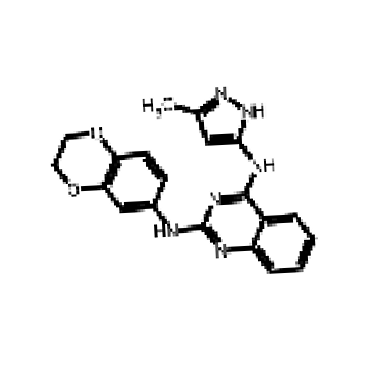 Cc1cc(Nc2nc(Nc3ccc4c(c3)OCCO4)nc3ccccc23)[nH]n1